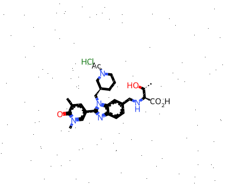 CC(=O)N1CCC[C@@H](Cn2c(-c3cc(C)c(=O)n(C)c3)nc3ccc(CN[C@H](C(=O)O)[C@@H](C)O)cc32)C1.Cl